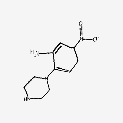 NC1=CC([N+](=O)[O-])CC=C1N1CCNCC1